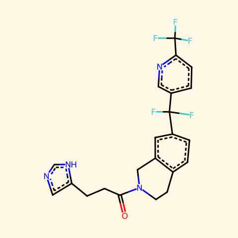 O=C(CCc1cnc[nH]1)N1CCc2ccc(C(F)(F)c3ccc(C(F)(F)F)nc3)cc2C1